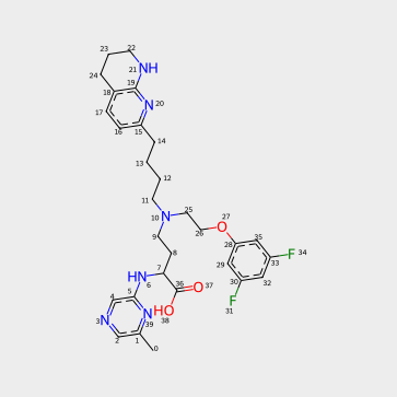 Cc1cncc(NC(CCN(CCCCc2ccc3c(n2)NCCC3)CCOc2cc(F)cc(F)c2)C(=O)O)n1